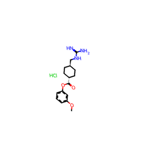 COc1cccc(OC(=O)[C@H]2CC[C@H](CNC(=N)N)CC2)c1.Cl